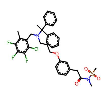 Cc1c(F)c(F)c(F)c(Cl)c1CN(CCCOc1cccc(CC(=O)N(C)S(C)(=O)=O)c1)C(C)(c1ccccc1)c1ccccc1